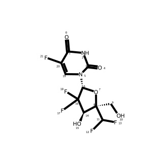 O=c1[nH]c(=O)n([C@@H]2O[C@@](CO)(C(F)F)[C@@H](O)C2(F)F)cc1F